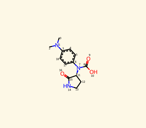 CN(C)c1ccc(N(C(=O)O)[C@H]2CCNC2=O)cc1